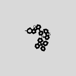 C[C@@H]1C=Cc2ccc3c(oc4cccc(-c5ccc(N(c6ccc7c(c6)C(c6ccccc6)(c6ccccc6)c6ccccc6-7)c6cccc7sc8ccccc8c67)cc5)c43)c2C=C1